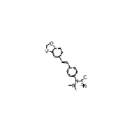 CN(C)N(c1ccc(/C=C/c2ccc3c(c2)OCO3)cc1)[SH](=O)=O